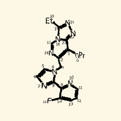 CCCc1c(Cn2ccnc2-c2ncccc2F)ncn2c(CC)nnc12